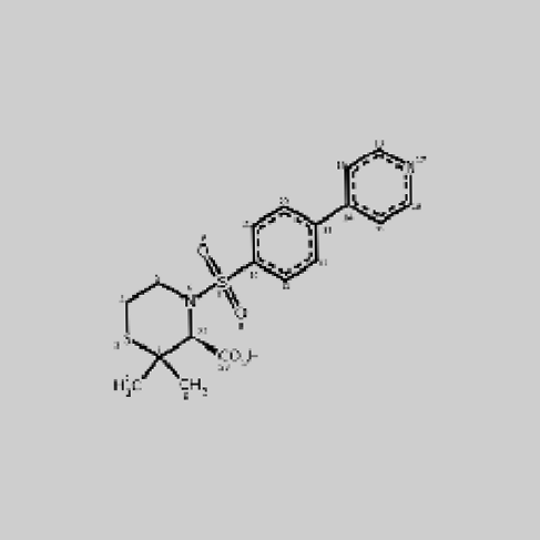 CC1(C)SCCN(S(=O)(=O)c2ccc(-c3ccncc3)cc2)[C@H]1C(=O)O